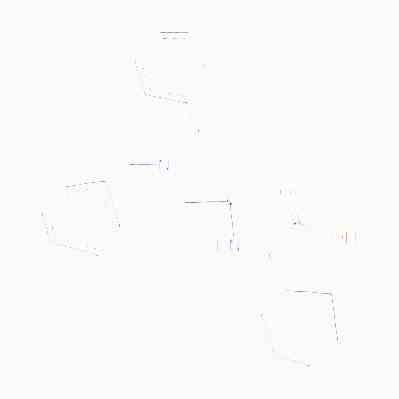 O=C(CN(Cc1ccccc1)Cc1ccccc1)N[C@H](C(=O)O)C1CCCCC1